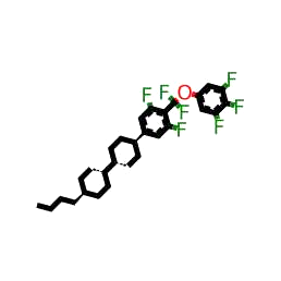 CCCC[C@H]1CC[C@H]([C@H]2CC[C@H](c3cc(F)c(C(F)(F)Oc4cc(F)c(F)c(F)c4)c(F)c3)CC2)CC1